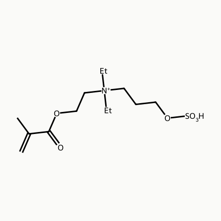 C=C(C)C(=O)OCC[N+](CC)(CC)CCCOS(=O)(=O)O